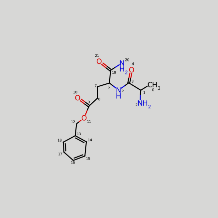 CC(N)C(=O)NC(CCC(=O)OCc1ccccc1)C(N)=O